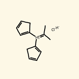 C[C](C)=[Hf]([C]1=CC=CC1)[C]1=CC=CC1.[Cl-].[H-]